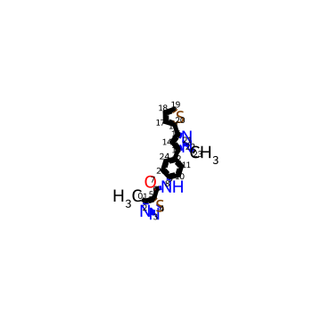 Cc1nnsc1C(=O)Nc1ccc(-c2cc(-c3cccs3)nn2C)cc1